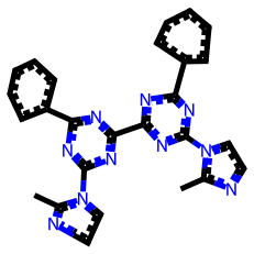 Cc1nccn1-c1nc(-c2ccccc2)nc(-c2nc(-c3ccccc3)nc(-n3ccnc3C)n2)n1